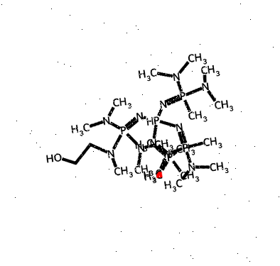 CN(C)P(C)(=N[PH](N=P(C)(C)C)(N=P(C)(N(C)C)N(C)C)N=P(N(C)C)(N(C)C)N(C)CCO)N(C)C